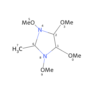 COC1C(OC)N(OC)C(C)N1OC